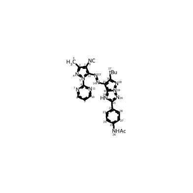 [C-]#[N+]c1c(C)nn(-c2ncccn2)c1/N=N/c1c(C(C)(C)C)nn2nc(-c3ccc(NC(C)=O)cc3)[nH]c12